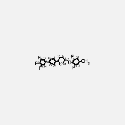 Cc1cc(F)c(OCC2CCC(c3ccc(-c4cc(F)c(F)c(F)c4)cc3)OC2)c(F)c1